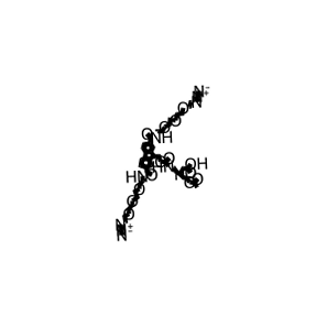 CC(=O)OCCN(CCNC(=O)OCC1c2cc(C(=O)NCCOCCOCCOCCN=[N+]=[N-])ccc2-c2ccc(C(=O)NCCOCCOCCOCCN=[N+]=[N-])cc21)CC(=O)O